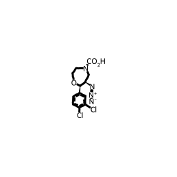 [N-]=[N+]=N[C@@H]1CN(C(=O)O)CCO[C@@H]1c1ccc(Cl)c(Cl)c1